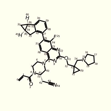 C=CC(=O)N1CCN(c2nc(OCC3(CN4CCCC4)CC3)nc3c(F)c(-c4cccc5c4C[C@H]4C[C@@H]54)ccc23)C[C@@H]1CC#N